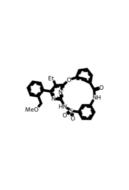 CCc1c2nc(nc1-c1ccccc1COC)NS(=O)(=O)c1cccc(c1)NC(=O)c1cccc(c1)O2